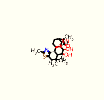 C=C1C(=O)[C@@]23C(CCC1[C@H]2O)[C@@]12CO[C@]3(O)[C@@H](O)C1C(C)(C)Cc1sc(C)nc12